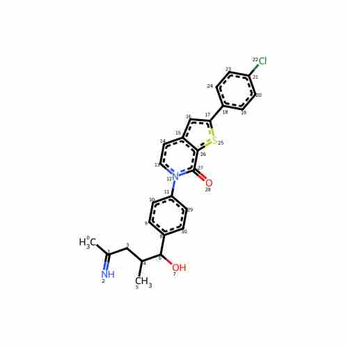 CC(=N)CC(C)C(O)c1ccc(-n2ccc3cc(-c4ccc(Cl)cc4)sc3c2=O)cc1